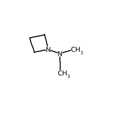 CN(C)N1CCC1